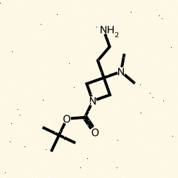 CN(C)C1(CCN)CN(C(=O)OC(C)(C)C)C1